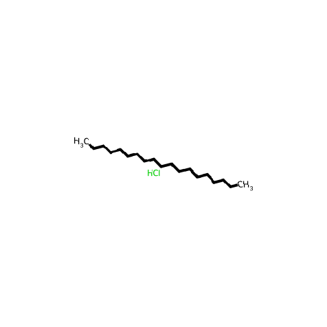 CCCCCCCCCCCCCCCCCCC.Cl